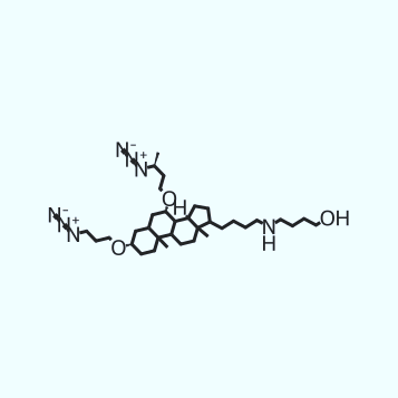 C[C@@H](CCO[C@@H]1CC2C[C@H](OCCCN=[N+]=[N-])CCC2(C)C2CCC3(C)C(CCCCNCCCCO)CC[C@H]3C21)N=[N+]=[N-]